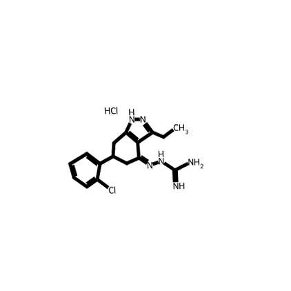 CCc1n[nH]c2c1/C(=N\NC(=N)N)CC(c1ccccc1Cl)C2.Cl